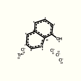 Oc1cccc2cccnc12.[Cl-].[Cl-].[Cl-].[Cl-].[Ti+4]